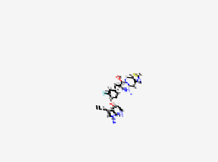 Cc1c[nH]c2nccc(Oc3ccc(C[C@H](N)C(=O)N4CCc5ncsc5C4)cc3F)c12